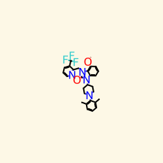 COc1cccc2c1n(Cc1ncccc1C(F)(F)F)c(=O)n2C1CCN(c2c(C)cccc2C)CC1